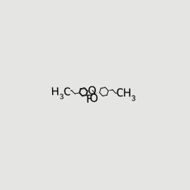 CCCc1ccc(OC(=O)[C@H]2CC[C@H](CCC)CC2)c(F)c1